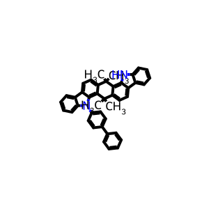 CC1(C)c2ccc3c4ccccc4n(-c4ccc(-c5ccccc5)cc4)c3c2C(C)(C)c2ccc3c([nH]c4ccccc43)c21